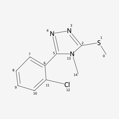 CSc1nnc(-c2ccccc2Cl)n1C